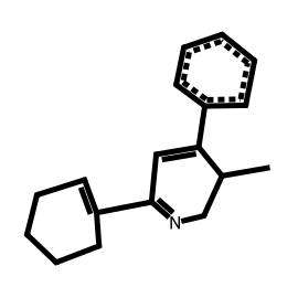 CC1CN=C(C2=CCCCC2)C=C1c1ccccc1